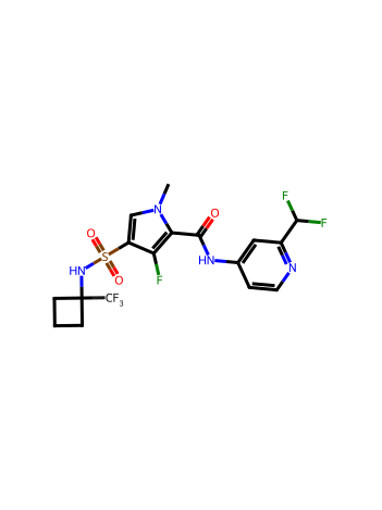 Cn1cc(S(=O)(=O)NC2(C(F)(F)F)CCC2)c(F)c1C(=O)Nc1ccnc(C(F)F)c1